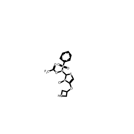 O=C(ON(C1SC=C(OC2CNC2)N1Cl)S(=O)(=O)c1ccccc1)C(F)(F)F